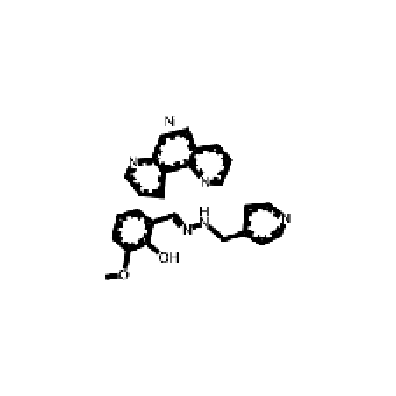 COc1cccc(C=NNCc2ccncc2)c1O.[Ni].c1cnc2c(c1)ccc1ncccc12